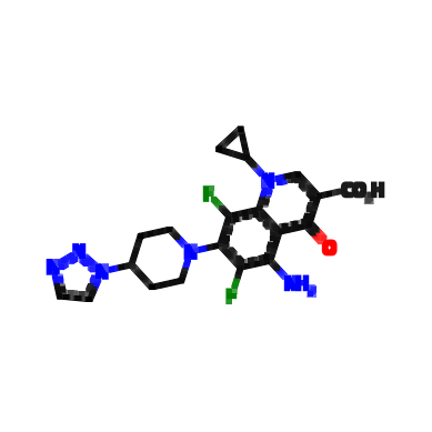 Nc1c(F)c(N2CCC(n3ccnn3)CC2)c(F)c2c1c(=O)c(C(=O)O)cn2C1CC1